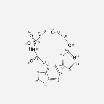 O=C1Nc2c(ccc3c2CCC3)-c2ccnc(c2)OCCCCCS(=O)(=O)N1